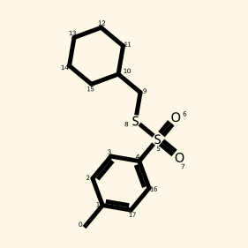 Cc1ccc(S(=O)(=O)SCC2CCCCC2)cc1